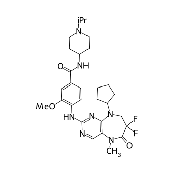 COc1cc(C(=O)NC2CCN(C(C)C)CC2)ccc1Nc1ncc2c(n1)N(C1CCCC1)CC(F)(F)C(=O)N2C